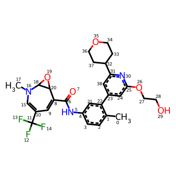 Cc1ccc(NC(=O)C2=CC(C(F)(F)F)=CN(C)C3OC23)cc1-c1cc(OCCO)nc(C2CCOCC2)c1